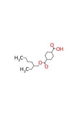 CCCCC(CC)COC(=O)C1CCC(C(=O)O)CC1